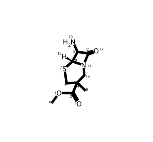 COC(=O)C1(C)CS[C@@H]2C(N)C(=O)N2C1